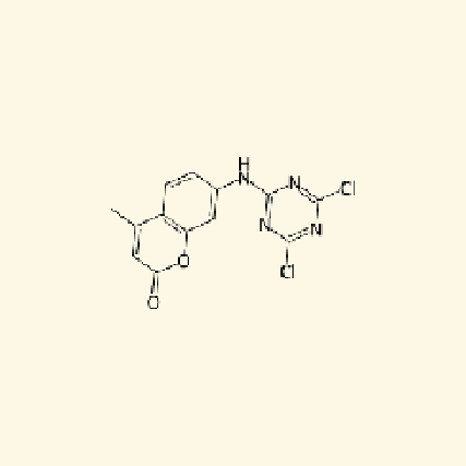 Cc1cc(=O)oc2cc(Nc3nc(Cl)nc(Cl)n3)ccc12